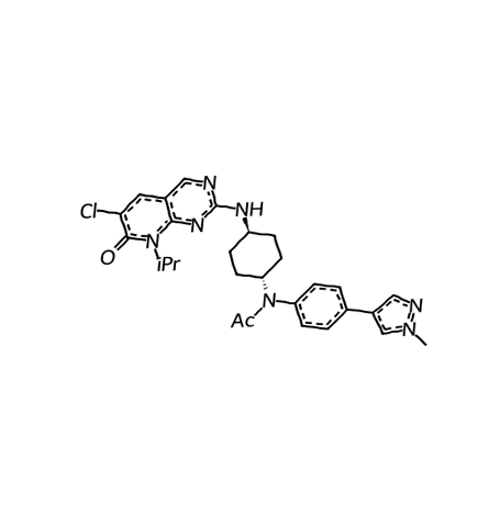 CC(=O)N(c1ccc(-c2cnn(C)c2)cc1)[C@H]1CC[C@H](Nc2ncc3cc(Cl)c(=O)n(C(C)C)c3n2)CC1